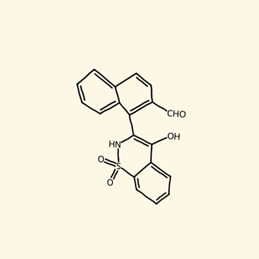 O=Cc1ccc2ccccc2c1C1=C(O)c2ccccc2S(=O)(=O)N1